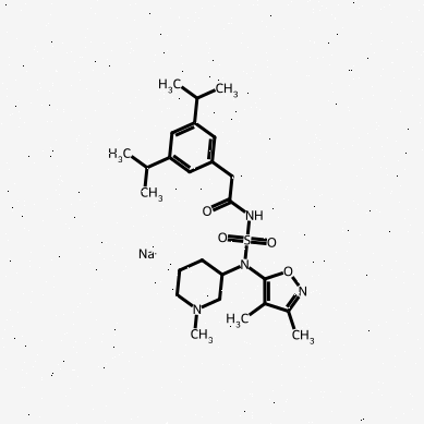 Cc1noc(N(C2CCCN(C)C2)S(=O)(=O)NC(=O)Cc2cc(C(C)C)cc(C(C)C)c2)c1C.[Na]